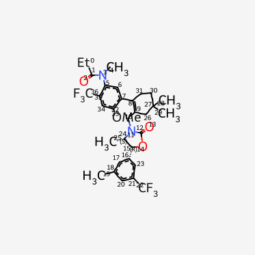 CCC(=O)N(C)c1cc(C2=C(CN3C(=O)O[C@H](c4cc(C)cc(C(F)(F)F)c4)[C@@H]3C)CC(C)(C)CC2)c(OC)cc1C(F)(F)F